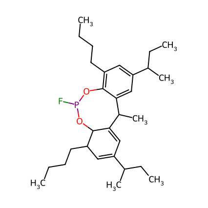 CCCCc1cc(C(C)CC)cc2c1OP(F)OC1C(=CC(C(C)CC)=CC1CCCC)C2C